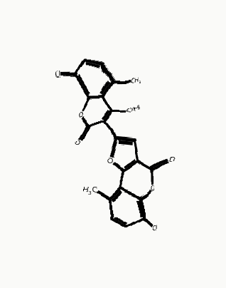 Cc1ccc(Cl)c2oc(=O)c(-c3cc4c(=O)oc5c(Cl)ccc(C)c5c4o3)c(O)c12